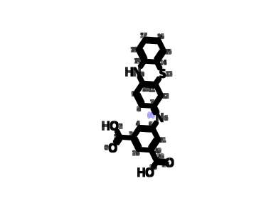 O=C(O)c1cc(/N=C2\C=CC3=C(C2)Sc2ccccc2N3)cc(C(=O)O)c1